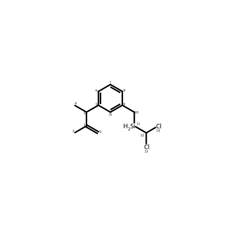 C=C(C)C(C)c1cccc(C[SiH2]C(Cl)Cl)c1